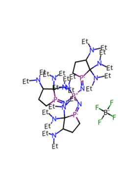 CCN(CC)C1CC[P](=N[P+](N=[P]2CCC(N(CC)CC)C2(N(CC)CC)N(CC)CC)(N=[P]2CCC(N(CC)CC)C2(N(CC)CC)N(CC)CC)N(CC)CC)C1(N(CC)CC)N(CC)CC.F[B-](F)(F)F